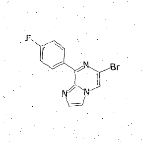 Fc1ccc(-c2nc(Br)cn3ccnc23)cc1